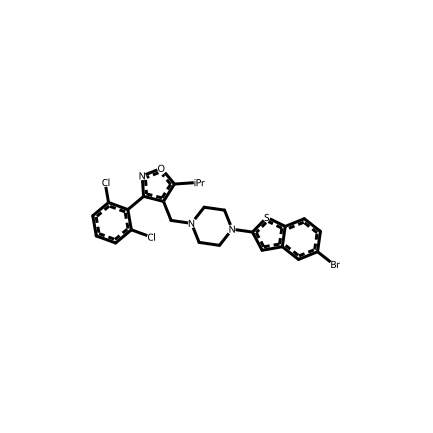 CC(C)c1onc(-c2c(Cl)cccc2Cl)c1CN1CCN(c2cc3cc(Br)ccc3s2)CC1